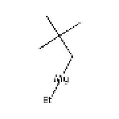 C[CH2][Mg][CH2]C(C)(C)C